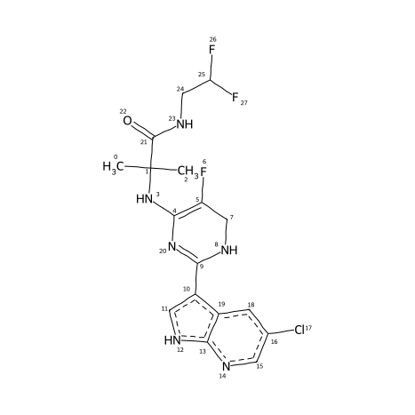 CC(C)(NC1=C(F)CNC(c2c[nH]c3ncc(Cl)cc23)=N1)C(=O)NCC(F)F